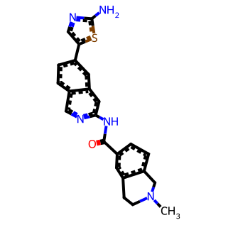 CN1CCc2cc(C(=O)Nc3cc4cc(-c5cnc(N)s5)ccc4cn3)ccc2C1